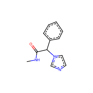 CNC(=O)C(c1ccccc1)n1ccnc1